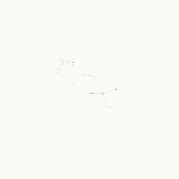 [2H]N([2H])C([2H])([2H])Cc1cnc[nH]1